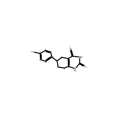 O=c1[nH]c2c(c(=O)[nH]1)CC(c1ccc(F)cc1)CC2